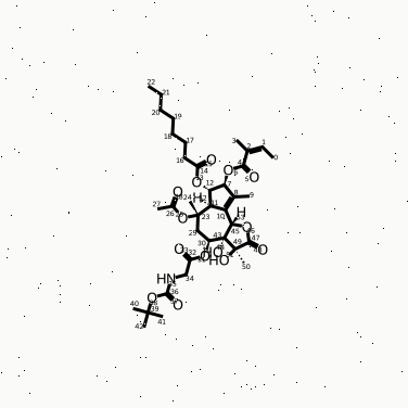 C/C=C(/C)C(=O)O[C@H]1C(C)=C2[C@H]([C@@H]1OC(=O)CCCCCCC)[C@@](C)(OC(C)=O)C[C@H](OC(=O)CNC(=O)OC(C)(C)C)[C@@]1(O)[C@H]2OC(=O)[C@@]1(C)O